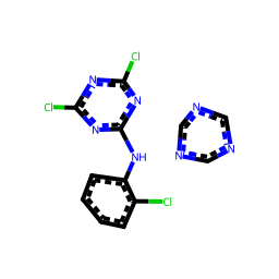 Clc1nc(Cl)nc(Nc2ccccc2Cl)n1.c1ncncn1